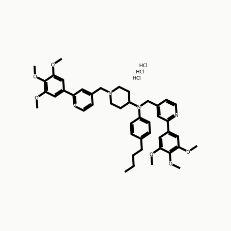 CCCCc1ccc(N(Cc2ccnc(-c3cc(OC)c(OC)c(OC)c3)c2)C2CCN(Cc3ccnc(-c4cc(OC)c(OC)c(OC)c4)c3)CC2)cc1.Cl.Cl.Cl